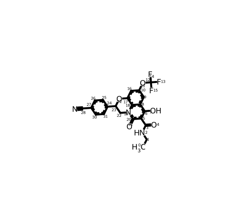 CCNC(=O)c1c(O)c2cc(OC(F)(F)F)cc3c2n(c1=O)CC(c1ccc(C#N)cc1)O3